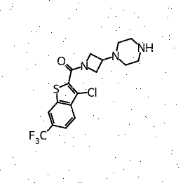 O=C(c1sc2cc(C(F)(F)F)ccc2c1Cl)N1CC(N2CCNCC2)C1